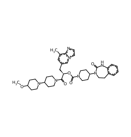 COC1CCN(C2CCN(C(=O)[C@@H](Cc3cc(C)c4nccn4c3)OC(=O)N3CCC(N4CCc5ccccc5NC4=O)CC3)CC2)CC1